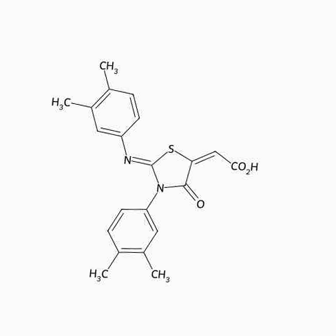 Cc1ccc(N=C2SC(=CC(=O)O)C(=O)N2c2ccc(C)c(C)c2)cc1C